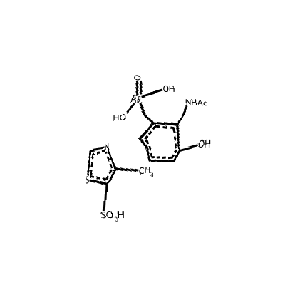 CC(=O)Nc1c(O)cccc1[As](=O)(O)O.Cc1ncsc1S(=O)(=O)O